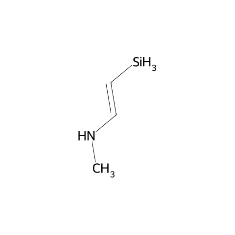 CNC=C[SiH3]